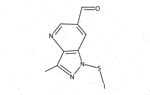 Cc1nn(SI)c2cc(C=O)cnc12